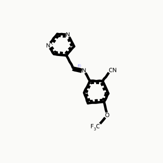 N#Cc1cc(OC(F)(F)F)ccc1/N=C/c1cncnc1